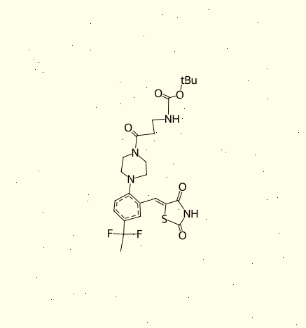 CC(C)(C)OC(=O)NCCC(=O)N1CCN(c2ccc(C(C)(F)F)cc2/C=C2\SC(=O)NC2=O)CC1